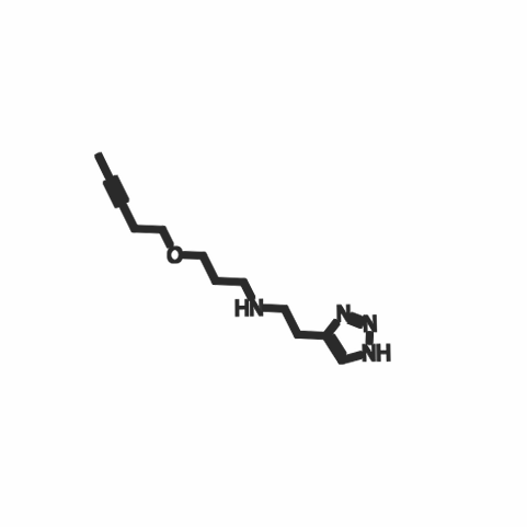 CC#CCCOCCCNCCc1c[nH]nn1